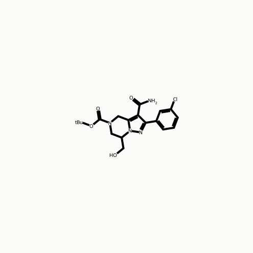 CC(C)(C)OC(=O)N1Cc2c(C(N)=O)c(-c3cccc(Cl)c3)nn2C(CO)C1